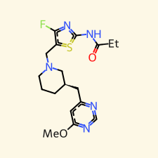 CCC(=O)Nc1nc(F)c(CN2CCC[C@H](Cc3cc(OC)ncn3)C2)s1